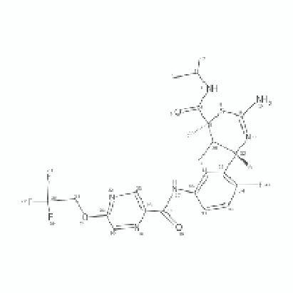 CC(C)NC(=O)[C@@]1(C)SC(N)=N[C@](C)(c2cc(NC(=O)c3cnc(OCC(F)(F)F)cn3)ccc2F)C1C